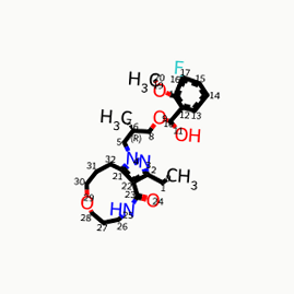 CCc1nn(C[C@@H](C)COC(O)c2cccc(F)c2OC)c2c1C(=O)NCCCOCCC2